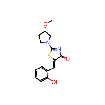 CO[C@H]1CCN(C2=NC(=O)/C(=C/c3ccccc3O)S2)C1